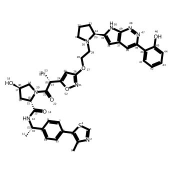 Cc1ncsc1-c1ccc([C@H](C)NC(=O)[C@@H]2C[C@@H](O)CN2C(=O)[C@@H](c2cc(OCCN3CCC[C@H]3c3cc4cc(-c5ccccc5O)nnc4[nH]3)no2)C(C)C)cc1